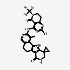 [2H]C([2H])([2H])N1CCc2nc(Cl)nc(Nc3ncc4c(c3F)-c3[nH]c5c(c3CC4)C(=O)NCC53CC3)c2C1=O